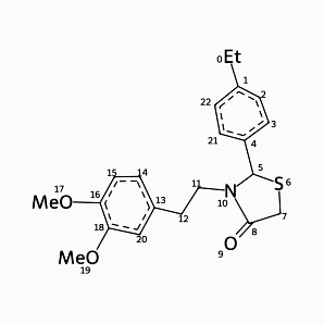 CCc1ccc(C2SCC(=O)N2CCc2ccc(OC)c(OC)c2)cc1